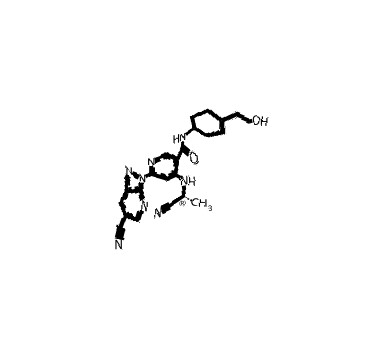 C[C@H](C#N)Nc1cc(-n2ncc3cc(C#N)cnc32)ncc1C(=O)NC1CCC(CCO)CC1